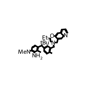 CC[C@H]1CN(Cc2cc(C(c3ccc(NC)c(N)c3C)C(C)(C)C)ccc2C)Cc2cc3ncccc3cc2O1